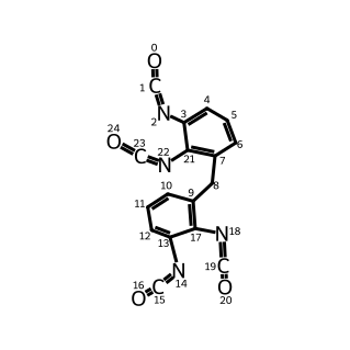 O=C=Nc1cccc(Cc2cccc(N=C=O)c2N=C=O)c1N=C=O